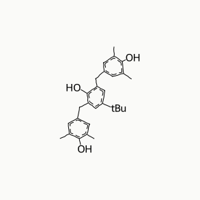 Cc1cc(Cc2cc(C(C)(C)C)cc(Cc3cc(C)c(O)c(C)c3)c2O)cc(C)c1O